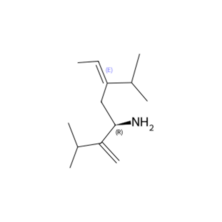 C=C(C(C)C)[C@H](N)C/C(=C\C)C(C)C